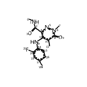 CNC(=O)c1nn(C)c(=O)c(C)c1Nc1ccc(I)cc1F